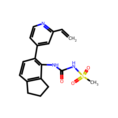 C=Cc1cc(-c2ccc3c(c2NC(=O)NS(C)(=O)=O)CCC3)ccn1